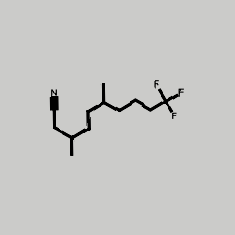 CC(CC#N)CCC(C)CCCC(F)(F)F